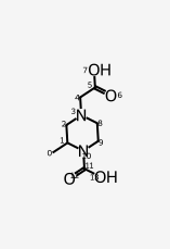 CC1CN(CC(=O)O)CCN1C(=O)O